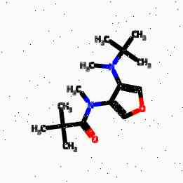 CN(C(=O)C(C)(C)C)c1cocc1N(C)C(C)(C)C